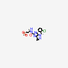 C[C@H](/C=C/S(C)(=O)=O)NC(=O)c1ncc(N[C@@H](C)c2ccccc2Cl)c(C2CC2)n1